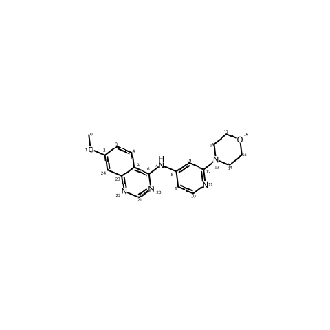 COc1[c]cc2c(Nc3ccnc(N4CCOCC4)c3)ncnc2c1